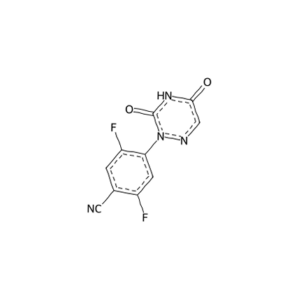 N#Cc1cc(F)c(-n2ncc(=O)[nH]c2=O)cc1F